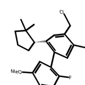 COc1ccc(F)c(-c2cc(F)c(CCl)cc2[C@@H]2CCCC2(C)C)c1